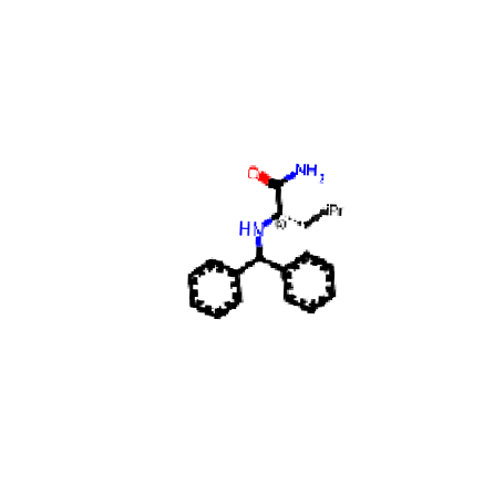 CC(C)C[C@H](NC(c1ccccc1)c1ccccc1)C(N)=O